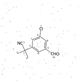 CC(C)(C#N)c1cc(Cl)cc(C=O)c1